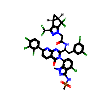 Cn1nc(NS(C)(=O)=O)c2c(Cl)ccc(-n3c([C@H](Cc4cc(F)cc(F)c4)NC(=O)Cn4nc(C(F)F)c5c4C(F)(F)[C@@H]4C[C@H]54)nc4nc(-c5ccc(F)c(F)c5F)ccc4c3=O)c21